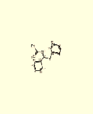 CCC(=O)OC(Cc1cccnc1)c1ccccc1